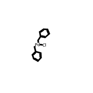 [Cl][Pd]([CH2]c1ccccc1)[CH2]c1ccccc1